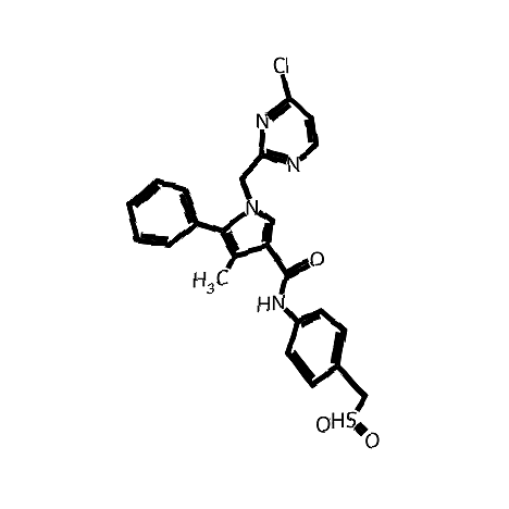 Cc1c(C(=O)Nc2ccc(C[SH](=O)=O)cc2)cn(Cc2nccc(Cl)n2)c1-c1ccccc1